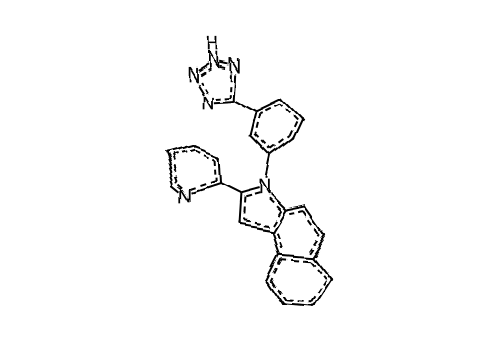 c1ccc(-c2cc3c4ccccc4ccc3n2-c2cccc(-c3nn[nH]n3)c2)nc1